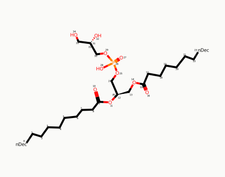 CCCCCCCCCCCCCCCCCCC(=O)O[C@H](COC(=O)CCCCCCCCCCCCCCCC)COP(=O)(O)OC[C@@H](O)CO